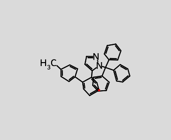 Cc1ccc(-c2ccccc2-c2ccnn2C(c2ccccc2)(c2ccccc2)c2ccccc2)cc1